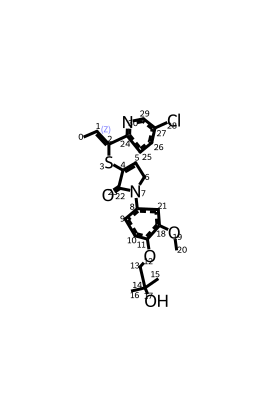 C/C=C(\SC1=CCN(c2ccc(OCC(C)(C)O)c(OC)c2)C1=O)c1ccc(Cl)cn1